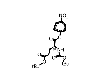 CC(C)(C)OC(=O)CC[C@H](NC(=O)OC(C)(C)C)C(=O)Oc1ccc([N+](=O)[O-])cc1